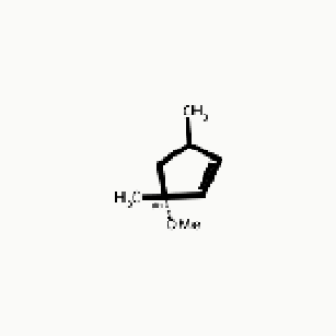 CO[C@@]1(C)C=CC(C)C1